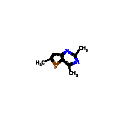 Cc1nc(C)c2sc(C)cc2n1